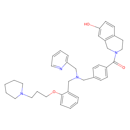 O=C(c1ccc(CN(Cc2ccccn2)Cc2ccccc2OCCCN2CCCCC2)cc1)N1CCc2ccc(O)cc2C1